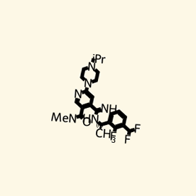 CNC(=O)c1cnc(N2CCN(C(C)C)CC2)cc1C(=N)N[C@H](C)c1cccc(C(F)F)c1F